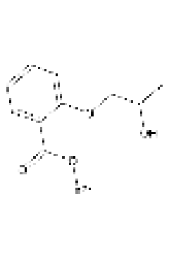 CCCOC(=O)c1ccccc1OCC(C)O